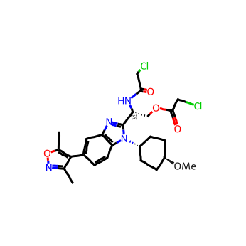 CO[C@H]1CC[C@H](n2c([C@@H](COC(=O)CCl)NC(=O)CCl)nc3cc(-c4c(C)noc4C)ccc32)CC1